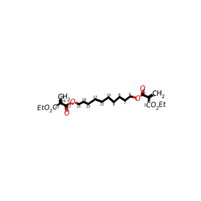 C=C(C(=O)OCC)C(=O)OCCCCCCCCCCOC(=O)C(=C)C(=O)OCC